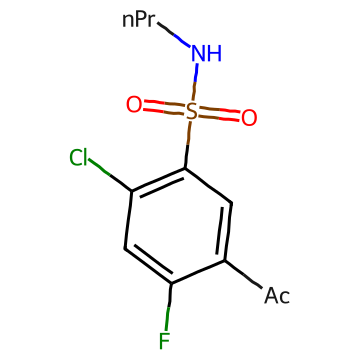 CCCNS(=O)(=O)c1cc(C(C)=O)c(F)cc1Cl